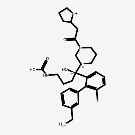 CCc1cccc(-c2c(F)cccc2[C@](O)(CCCNC(=O)O)[C@@H]2CCCN(C(=O)CC3CCCN3)C2)c1